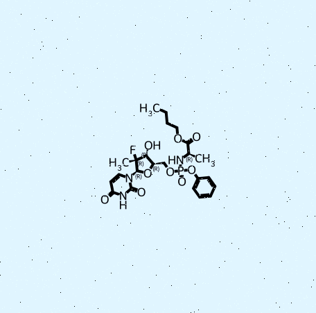 CCCCOC(=O)[C@@H](C)NP(=O)(OC[C@H]1O[C@@H](n2ccc(=O)[nH]c2=O)[C@](C)(F)[C@@H]1O)Oc1ccccc1